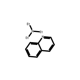 CCN(CC)CC.c1ccc2ncccc2c1